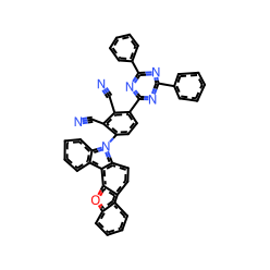 N#Cc1c(-c2nc(-c3ccccc3)nc(-c3ccccc3)n2)ccc(-n2c3ccccc3c3c4oc5ccccc5c4ccc32)c1C#N